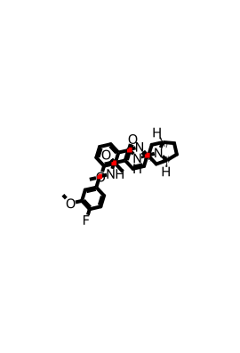 COc1cc(CNC(=O)c2ccc(N3[C@@H]4CC[C@H]3C[C@@H](NC(=O)c3cccc(OC)c3C)C4)nc2)ccc1F